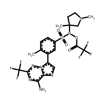 Cc1ccc(S(=O)(=O)N(OC(=O)C(F)(F)F)C2(C)CCN(C)C2)cc1-c1cnc2c(N)nc(C(F)(F)F)nn12